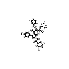 CCC(C=O)SC(=O)c1nc2n(CC(=O)N3C[C@@H](C)O[C@@H](C)C3)cc(-c3ccc(F)cc3)n2c(=O)c1OCc1ccccc1